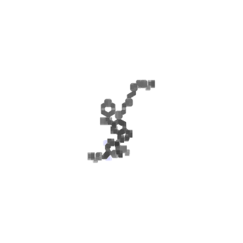 C=C(/N=C\C(C#N)=C/C)n1cnc2cc(OCCOCCOS(=O)(=O)O)c(NC3CCOCC3)nc21